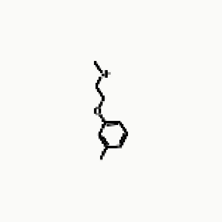 CNCCOc1cccc(C)c1